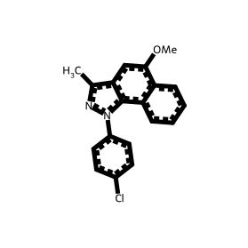 COc1cc2c(C)nn(-c3ccc(Cl)cc3)c2c2ccccc12